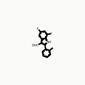 Cc1ccccc1-c1[nH]c2c(F)cc(F)cc2c1C=O